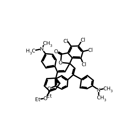 CCOc1ccc(C(=CC2(C=C(c3ccc(OCC)cc3)c3ccc(N(C)C)cc3)OC(=O)c3c(Cl)c(Cl)c(Cl)c(Cl)c32)c2ccc(N(C)C)cc2)cc1